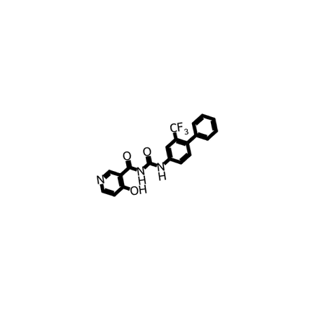 O=C(NC(=O)c1cnccc1O)Nc1ccc(-c2ccccc2)c(C(F)(F)F)c1